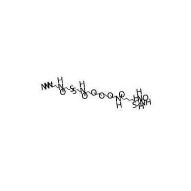 [N-]=[N+]=NCCCNC(=O)CCSSCCNC(=O)CCOCCOCCOCCNC(=O)CCCC[C@@H]1SC[C@@H]2NC(=O)N[C@@H]21